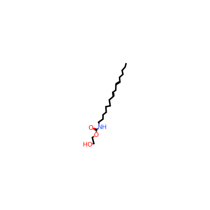 CCCCCC=CCC=CCCCCCCCNC(=O)OCCO